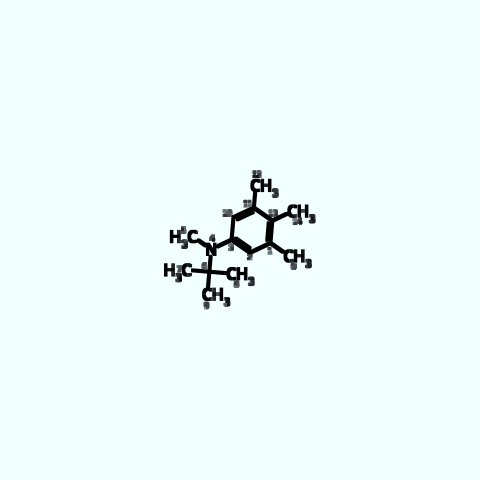 Cc1cc(N(C)C(C)(C)C)cc(C)c1C